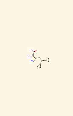 CC(C)n1ncc(CC(C2CC2)C2CC2)c1C(N)=O